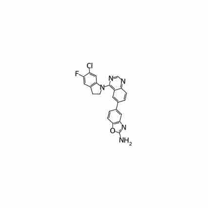 Nc1nc2cc(-c3ccc4ncnc(N5CCc6cc(F)c(Cl)cc65)c4c3)ccc2o1